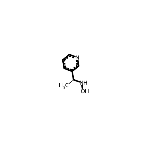 C[C@@H](NO)c1cccnc1